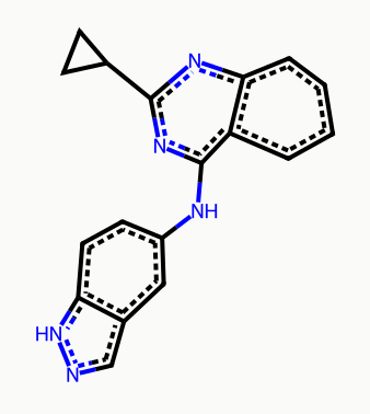 c1ccc2c(Nc3ccc4[nH]ncc4c3)nc(C3CC3)nc2c1